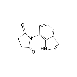 O=C1CCC(=O)N1c1cccc2cc[nH]c12